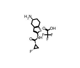 N[C@H]1CCc2sc(NC(=O)[C@H]3C[C@@H]3F)cc2C1.O=C(O)C(F)(F)F